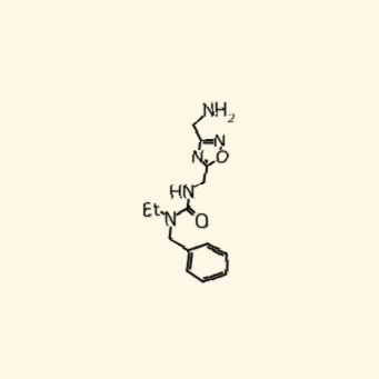 CCN(Cc1ccccc1)C(=O)NCc1nc(CN)no1